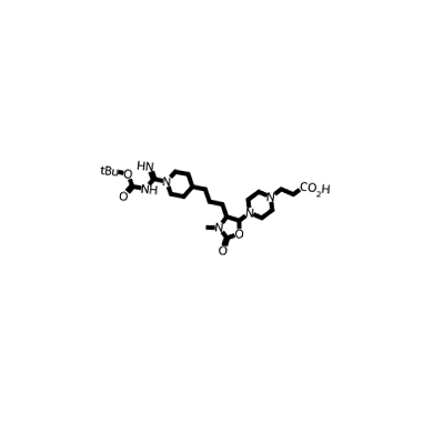 CN1C(=O)OC(N2CCN(CCC(=O)O)CC2)C1CCCC1CCN(C(=N)NC(=O)OC(C)(C)C)CC1